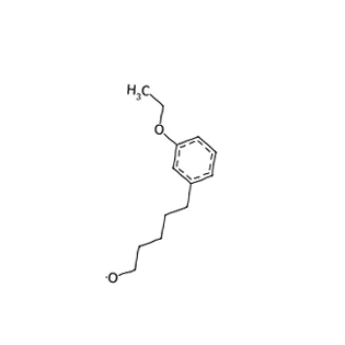 CCOc1cccc(CCCCC[O])c1